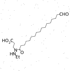 CCNN(CCC(=O)O)C(=O)CCCCCCCCCCCCCCCC=O